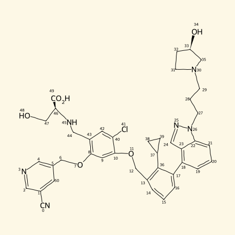 N#Cc1cncc(COc2cc(OCc3cccc(-c4cccc5c4cnn5CCCN4CC[C@@H](O)C4)c3C3CC3)c(Cl)cc2CN[C@@H](CO)C(=O)O)c1